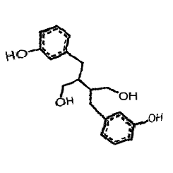 OCC(Cc1cccc(O)c1)C(CO)Cc1cccc(O)c1